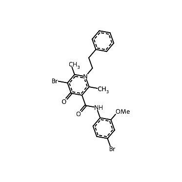 COc1cc(Br)ccc1NC(=O)c1c(C)n(CCc2ccccc2)c(C)c(Br)c1=O